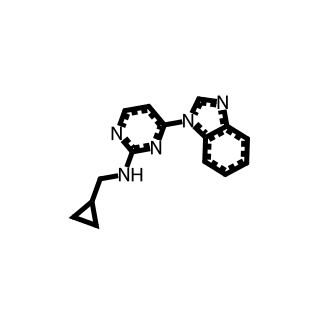 c1ccc2c(c1)ncn2-c1ccnc(NCC2CC2)n1